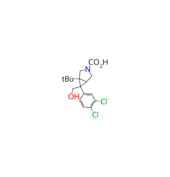 CC(C)(C)C12CN(C(=O)O)CC1C2(CO)c1ccc(Cl)c(Cl)c1